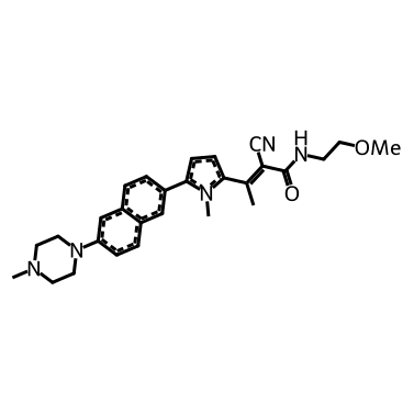 COCCNC(=O)/C(C#N)=C(\C)c1ccc(-c2ccc3cc(N4CCN(C)CC4)ccc3c2)n1C